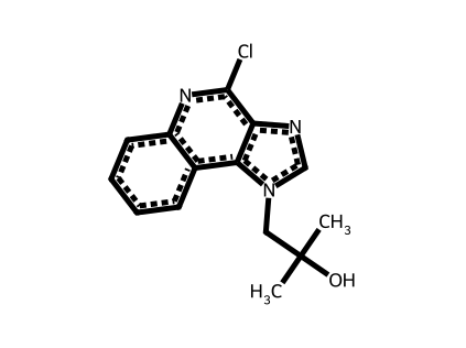 CC(C)(O)Cn1cnc2c(Cl)nc3ccccc3c21